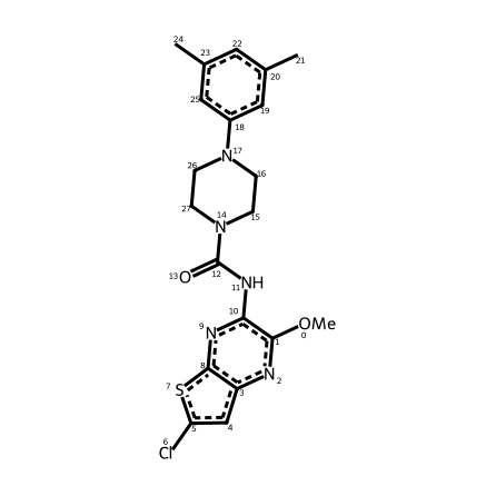 COc1nc2cc(Cl)sc2nc1NC(=O)N1CCN(c2cc(C)cc(C)c2)CC1